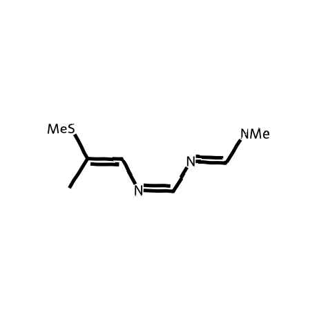 CN/C=N/C=N\C=C(/C)SC